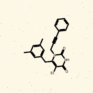 CCc1c(Cc2cc(C)cc(C)c2)n(CC#Cc2ccccc2)c(=O)[nH]c1=O